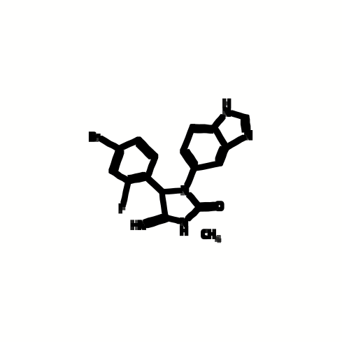 C.N=C1NC(=O)N(c2ccc3[nH]cnc3c2)C1c1ccc(Br)cc1F